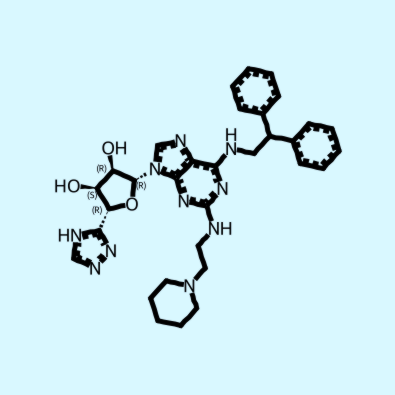 O[C@@H]1[C@H](O)[C@@H](c2nnc[nH]2)O[C@H]1n1cnc2c(NCC(c3ccccc3)c3ccccc3)nc(NCCN3CCCCC3)nc21